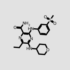 CCc1nc(C(N)=O)c(Nc2cccc(S(C)(=O)=O)c2)nc1NC1CCOCC1